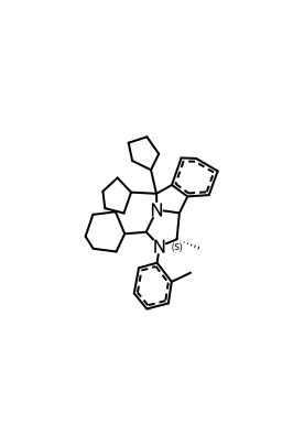 Cc1ccccc1N1C(C2CCCCC2)N2C(c3ccccc3C2(C2CCCC2)C2CCCC2)[C@@H]1C